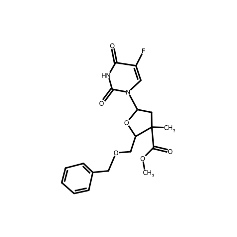 COC(=O)C1(C)CC(n2cc(F)c(=O)[nH]c2=O)OC1COCc1ccccc1